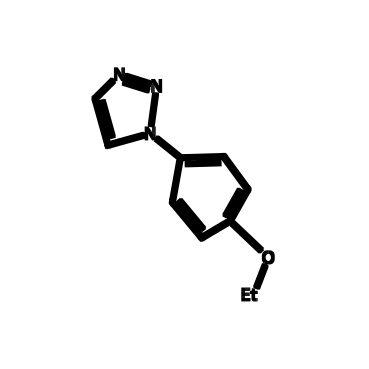 CCOc1ccc(-n2ccnn2)cc1